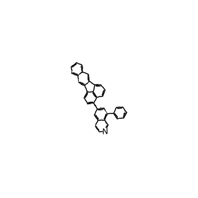 c1ccc(-c2cc(-c3ccc4c5c(cccc35)-c3cc5ccccc5cc3-4)cc3ccncc23)cc1